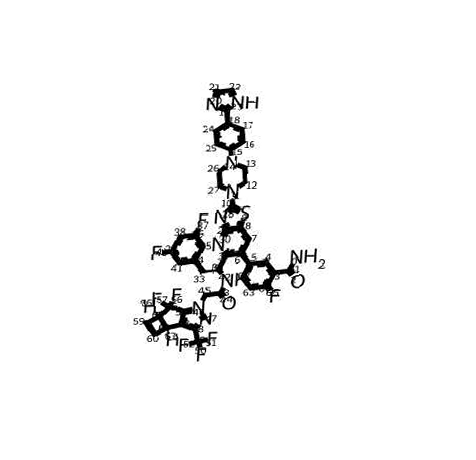 NC(=O)c1cc(-c2cc3sc(N4CCN(c5ccc(-c6ncc[nH]6)cc5)CC4)nc3nc2[C@H](Cc2cc(F)cc(F)c2)NC(=O)Cn2nc(C(F)(F)F)c3c2C(F)(F)[C@@H]2C=C[C@H]32)ccc1F